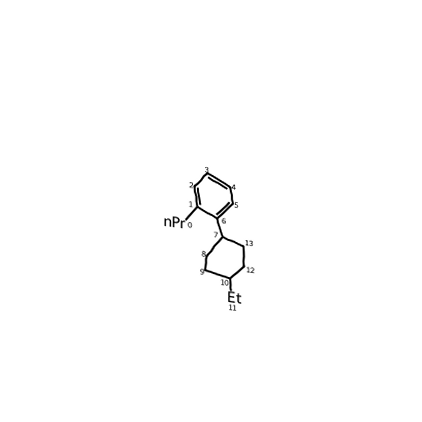 [CH2]CCc1ccccc1C1CCC(CC)CC1